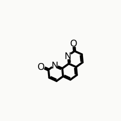 O=C1C=Cc2ccc3c(c2=N1)=NC(=O)C=C3